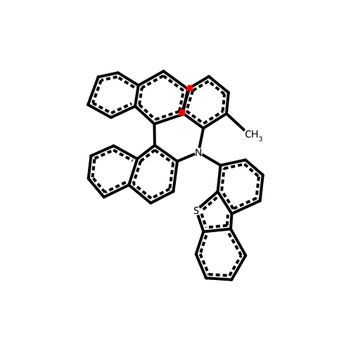 Cc1ccccc1N(c1ccc2ccccc2c1-c1cccc2ccccc12)c1cccc2c1sc1ccccc12